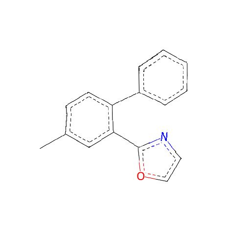 Cc1ccc(-c2ccccc2)c(-c2ncco2)c1